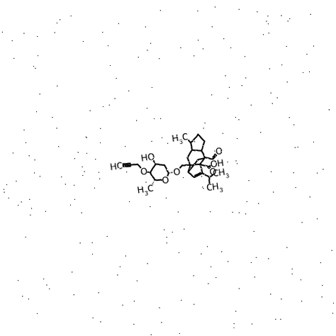 C#CCO[C@H]1[C@@H](O)C[C@H](OCC23CC4C(C)CCC4C4(C=O)CC2C=C(C(C)C)C43C(=O)O)O[C@@H]1C